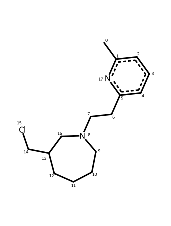 Cc1cccc(CCN2CCCCC(CCl)C2)n1